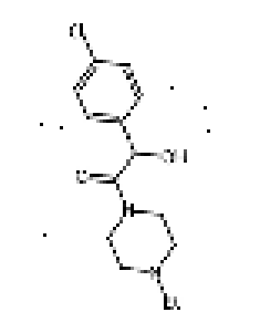 CCN1CCN(C(=O)C(O)c2ccc(Cl)cc2)CC1